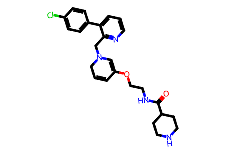 O=C(NCCOC1=CN(Cc2ncccc2-c2ccc(Cl)cc2)CC=C1)C1CCNCC1